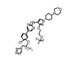 C[C@@H](Cn1cnnn1)Oc1cc(-c2cnc(Nc3cn([C@H]4CC[C@H](N5CCOCC5)CC4)nc3OCCOC(F)(F)F)nc2)ccc1Cl